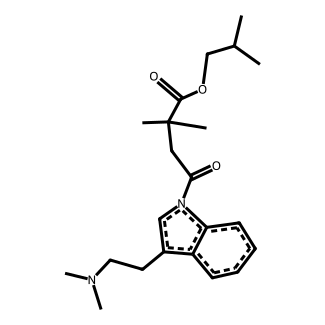 CC(C)COC(=O)C(C)(C)CC(=O)n1cc(CCN(C)C)c2ccccc21